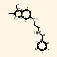 Cc1oc2cc(OCCNCc3ccccc3)ccc2c1C